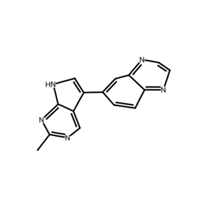 Cc1ncc2c(-c3ccc4nccnc4c3)c[nH]c2n1